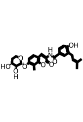 CC(C)=CCc1cc(C(=O)Nc2cc3ccc(O[C@@H]4OCC[C@@H](O)[C@@H]4O)c(C)c3oc2=O)ccc1O